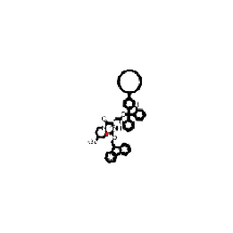 CC(C)(C)C1CCN(C(=O)[C@H](CC(=O)OC(c2ccccc2)(c2ccc(C3CCCCCCCCCCCC3)cc2)c2ccccc2Cl)NC(=O)OCC2c3ccccc3-c3ccccc32)CC1